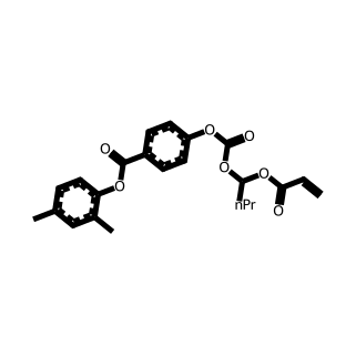 C=CC(=O)OC(CCC)OC(=O)Oc1ccc(C(=O)Oc2ccc(C)cc2C)cc1